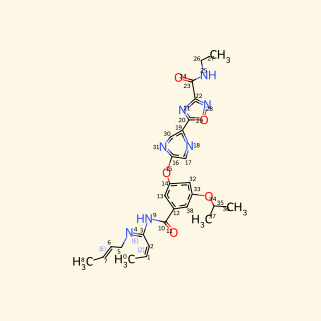 C/C=C\C(=N/C/C=C/C)NC(=O)c1cc(Oc2cnc(-c3nc(C(=O)NCC)no3)cn2)cc(OC(C)C)c1